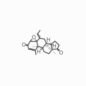 C/C=C1\C[C@H]2[C@@H]3CCC(=O)[C@@]3(C)CC[C@@H]2[C@@]2(C)C(C)=CC(=O)C3OC132